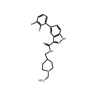 O=C(O)CN1CCC(CNC(=O)c2n[nH]c3ccc(-c4cccc(F)c4F)cc23)CC1